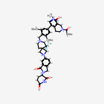 CNC(=O)N1CCc2c(-c3cc(OC)c(CN4CCC5(CN(c6ccc7c(c6)C(=O)N(C6CCC(=O)NC6=O)C7)C5)C(F)(F)C4)c(OC)c3)cn(C)c(=O)c2C1